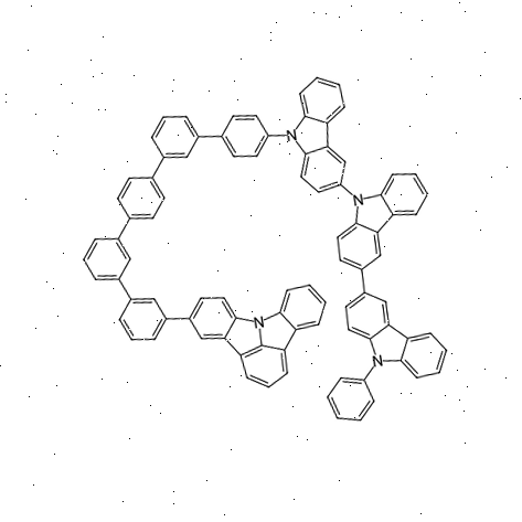 c1ccc(-n2c3ccccc3c3cc(-c4ccc5c(c4)c4ccccc4n5-c4ccc5c(c4)c4ccccc4n5-c4ccc(-c5cccc(-c6ccc(-c7cccc(-c8cccc(-c9ccc%10c(c9)c9cccc%11c%12ccccc%12n%10c%119)c8)c7)cc6)c5)cc4)ccc32)cc1